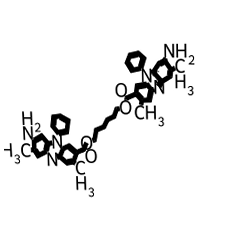 CC1=CC2=Nc3cc(C)c(N)cc3N(c3ccccc3)C2C=C1C(=O)OCCCCCCOC(=O)c1cc2c(cc1C)nc1cc(C)c(N)cc1[n+]2-c1ccccc1